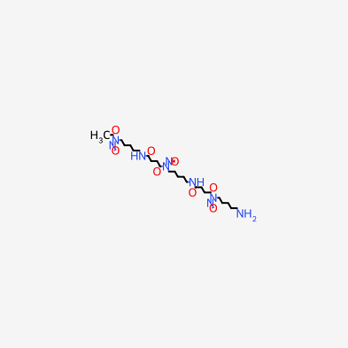 CC(=O)N(CCCCCNC(=O)CCC(=O)N(CCCCCNC(=O)CCC(=O)N(CCCCCN)N=O)N=O)N=O